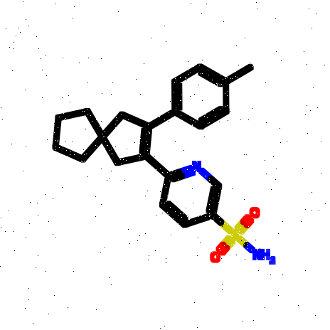 Cc1ccc(C2=C(c3ccc(S(N)(=O)=O)cn3)CC3(CCCC3)C2)cc1